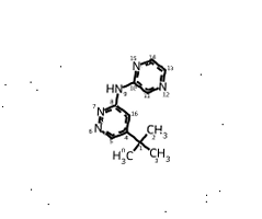 CC(C)(C)c1cnnc(Nc2cnccn2)c1